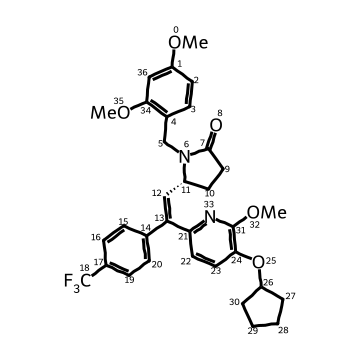 COc1ccc(CN2C(=O)CC[C@@H]2C=C(c2ccc(C(F)(F)F)cc2)c2ccc(OC3CCCC3)c(OC)n2)c(OC)c1